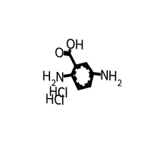 Cl.Cl.Nc1ccc(N)c(C(=O)O)c1